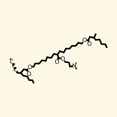 C=C=C=C=CC(CCCCC)CC(=O)OCCCCCCCCC(CCCCCCCCOC(=O)CC(C)CCCCC)C(=O)OCCCN(C)C